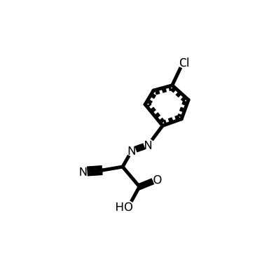 N#CC(/N=N/c1ccc(Cl)cc1)C(=O)O